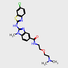 CN(C)CCOCCNC(=O)c1ccc2c(c1)nc(Nc1nc3ccc(Cl)cc3s1)n2C